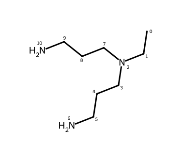 CCN(CCCN)CCCN